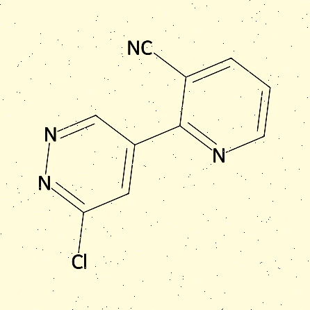 N#Cc1cccnc1-c1cnnc(Cl)c1